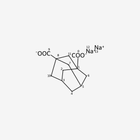 O=C([O-])C12CC3CC(C1)CC(C(=O)[O-])(C3)C2.[Na+].[Na+]